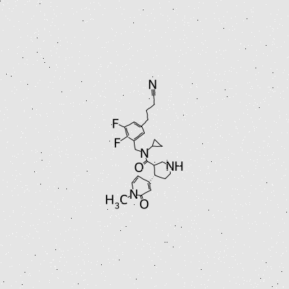 Cn1ccc([C@H]2CCNCC2C(=O)N(Cc2cc(CCCC#N)cc(F)c2F)C2CC2)cc1=O